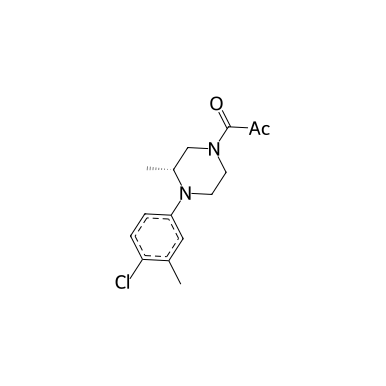 CC(=O)C(=O)N1CCN(c2ccc(Cl)c(C)c2)[C@H](C)C1